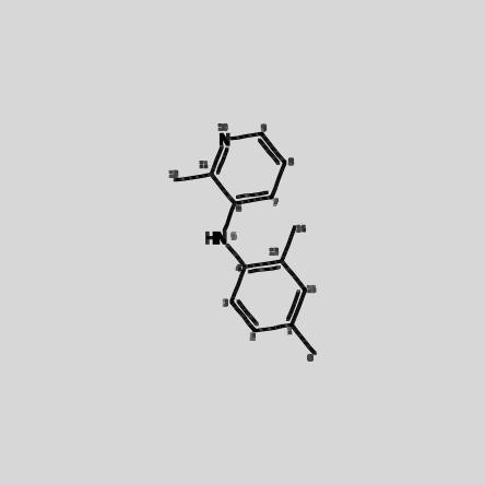 Cc1ccc(Nc2cccnc2C)c(C)c1